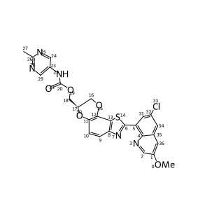 COc1cnc2c(-c3nc4ccc5c(c4s3)OC[C@H](COC(=O)Nc3cnc(C)nc3)O5)cc(Cl)cc2c1